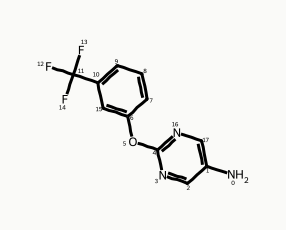 Nc1cnc(Oc2cccc(C(F)(F)F)c2)nc1